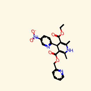 CCOC(=O)C1=C(C)NC(C)=C(C(=O)OCc2ccccn2)C1c1ccc([N+](=O)[O-])cn1